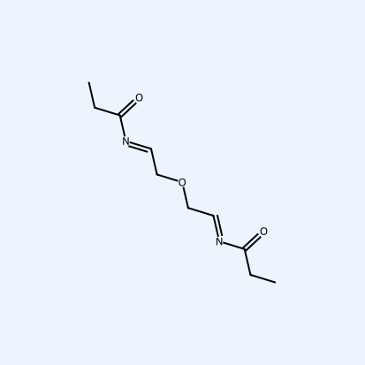 CCC(=O)N=CCOCC=NC(=O)CC